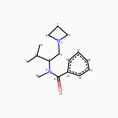 CC(C)C(CN1CCC1)N(C)C(=O)c1ccccc1